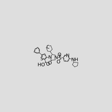 O=C(O)c1sc(-c2ccccc2)cc1N1C(=O)CN(S(=O)(=O)c2ccc(NC3CCCC3)nc2)CC1C1CCCCC1